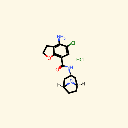 CN1[C@@H]2CC[C@H]1C[C@@H](NC(=O)c1cc(Cl)c(N)c3c1OCC3)C2.Cl